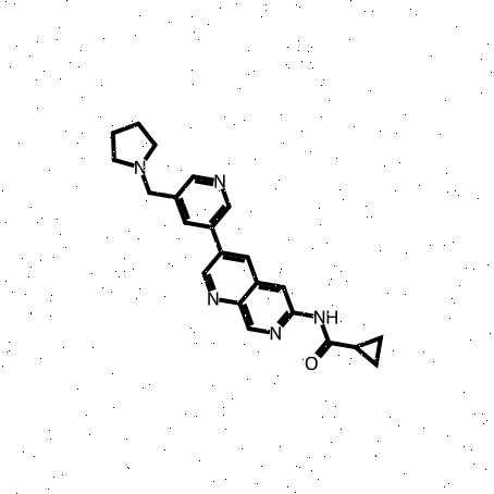 O=C(Nc1cc2cc(-c3cncc(CN4CCCC4)c3)cnc2cn1)C1CC1